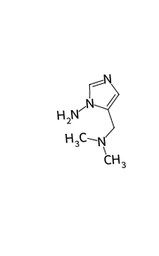 CN(C)Cc1cncn1N